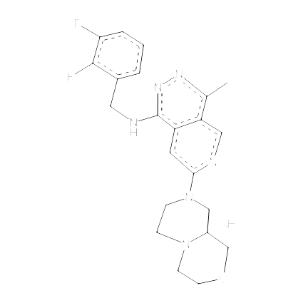 Cc1nnc(N[C@H](C)c2cccc(F)c2F)c2cc(N3CCN4CCOC[C@@H]4C3)ncc12